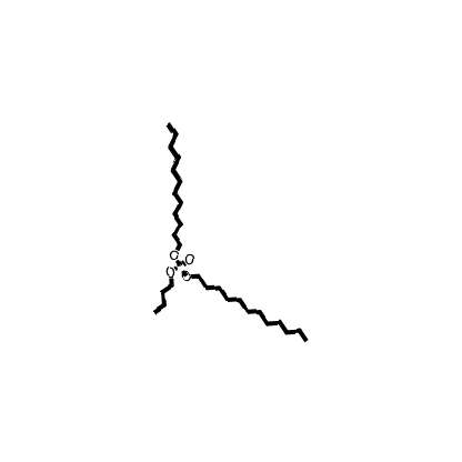 CCCCCCCCCCCCOP(=O)(OCCCC)OCCCCCCCCCCCC